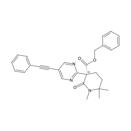 CN1C(=O)[C@@](C(=O)OCc2ccccc2)(c2ncc(C#Cc3ccccc3)cn2)CCC1(C)C